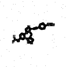 COc1ccc(C#Cc2ncn3c2Cc2cnnn2-c2cc(OC(F)F)ccc2-3)cc1